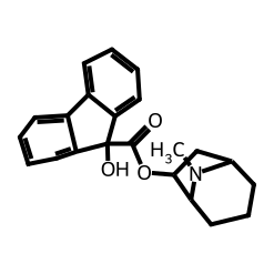 CN1C2CCCC1C(OC(=O)C1(O)c3ccccc3-c3ccccc31)C2